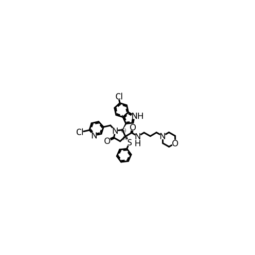 O=C1C[C@@](Sc2ccccc2)(C(=O)NCCCN2CCOCC2)[C@H](c2c[nH]c3cc(Cl)ccc23)N1Cc1ccc(Cl)nc1